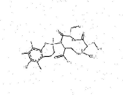 Cc1c(C)c2c(c(C)c1O)CCC(C)(N(C(=O)[C@H](CO)NC(=O)[C@H](CO)NC(=O)O)[C@@H](CO)C(N)=O)O2